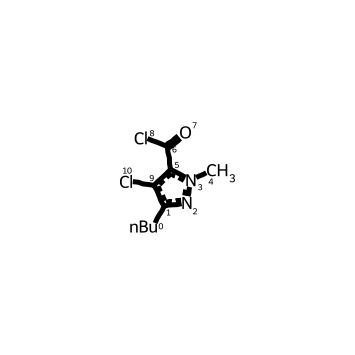 CCCCc1nn(C)c(C(=O)Cl)c1Cl